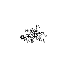 CC(=O)OC[C@H]1O[C@H](OC(NCC(=O)OCc2ccccc2)C(=O)O)[C@@H](OC(C)=O)[C@H](OC(C)=O)[C@@H]1OC(C)=O